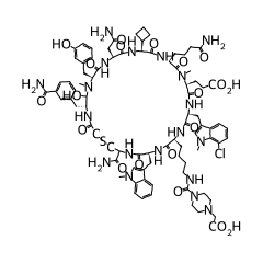 CN1C(=O)[C@H](CCCC(N)=O)NC(=O)[C@H](C2CCC2)NC(=O)[C@H](CC(N)=O)NC(=O)[C@H](Cc2cccc(O)c2)N(C)C(O)[C@@H](Cc2cccc(C(N)=O)c2)NC(=O)CSCC(C(N)=O)NC(=O)[C@H](Cc2cn(C)c3ccccc23)NC(=O)[C@H](CCCCNC(=O)N2CCN(CC(=O)O)CC2)NC(=O)[C@H](Cc2cn(C)c3c(Cl)cccc23)NC(=O)[C@@H]1CCC(=O)O